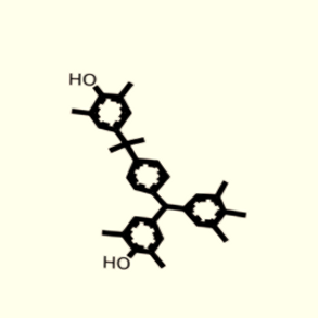 Cc1cc(C(c2ccc(C(C)(C)c3cc(C)c(O)c(C)c3)cc2)c2cc(C)c(O)c(C)c2)cc(C)c1C